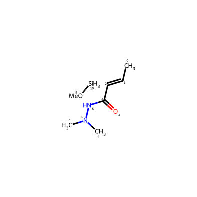 CC=CC(=O)NN(C)C.CO[SiH3]